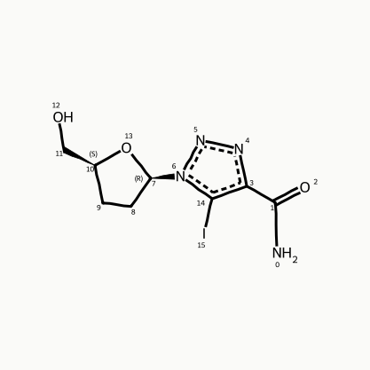 NC(=O)c1nnn([C@H]2CC[C@@H](CO)O2)c1I